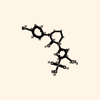 Cc1nc(N2CCCN(c3ccc(Br)cc3)C2=O)sc1S(=O)(=O)O